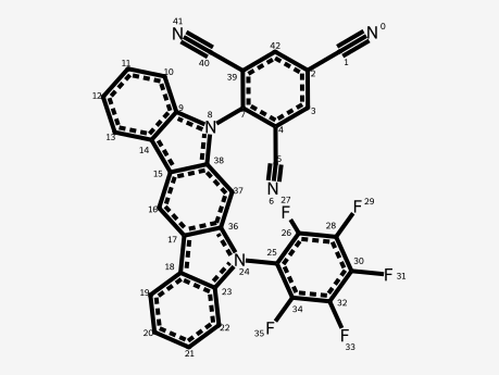 N#Cc1cc(C#N)c(-n2c3ccccc3c3cc4c5ccccc5n(-c5c(F)c(F)c(F)c(F)c5F)c4cc32)c(C#N)c1